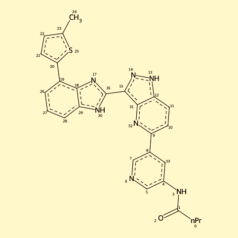 CCCC(=O)Nc1cncc(-c2ccc3[nH]nc(-c4nc5c(-c6ccc(C)s6)cccc5[nH]4)c3n2)c1